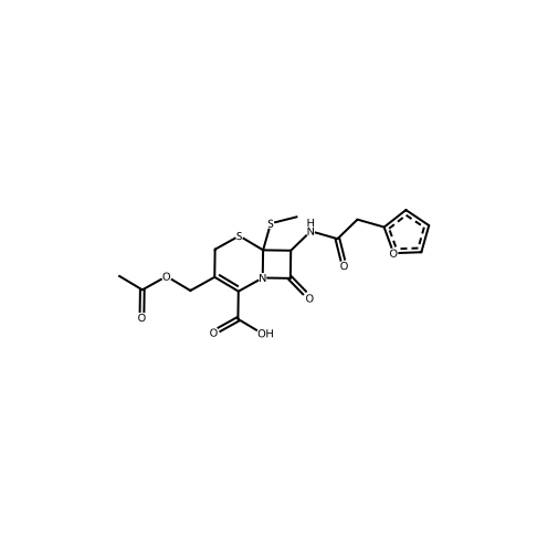 CSC12SCC(COC(C)=O)=C(C(=O)O)N1C(=O)C2NC(=O)Cc1ccco1